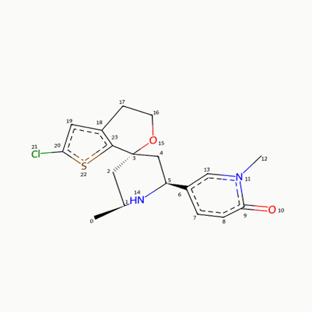 C[C@H]1C[C@@]2(C[C@@H](c3ccc(=O)n(C)c3)N1)OCCc1cc(Cl)sc12